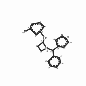 Fc1cccc(OC2CCN2C(c2ccccc2)c2ccccc2)c1